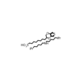 CC(C)CCCCCNCCCCCC(C)C.O=S(=O)(O)CCCCCCCCC1COc2cscc2O1